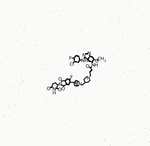 COc1cc2ncnc(Nc3ccc(F)c(Cl)c3)c2cc1NC(=O)/C=C/CN1CCC(CN2CC3CCC2CN3c2cc3c(cc2F)C(=O)N(C2CCC(=O)NC2=O)C3=O)CC1